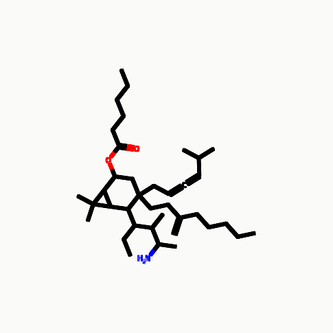 C=C(CCCCC)CCC1(CC=C=CC(C)C)CC(OC(=O)CCCCC)C2C(C1C(CC)C(C)C(C)N)C2(C)C